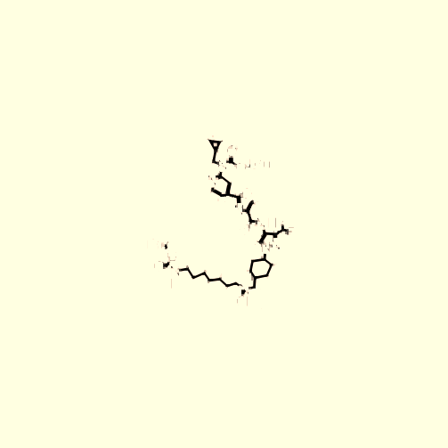 CN(CCCCCCCNC(=O)OC(C)(C)C)CC1CCC(n2cc(NC(=O)c3coc(-c4ccnc(N(CC5CC5)C(=O)OC(C)(C)C)c4)n3)c(C(F)F)n2)CC1